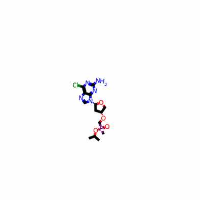 CC(C)OP(C)(=O)CO[C@H]1CO[C@@H](n2cnc3c(Cl)nc(N)nc32)C1